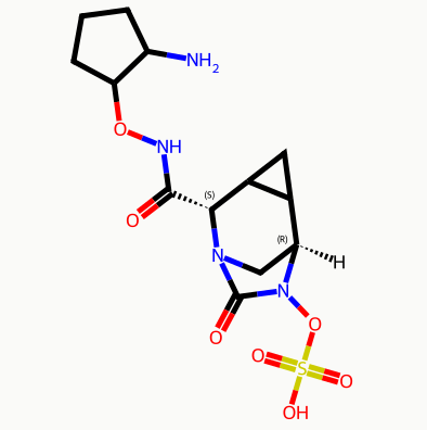 NC1CCCC1ONC(=O)[C@@H]1C2CC2[C@@H]2CN1C(=O)N2OS(=O)(=O)O